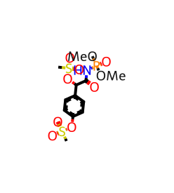 COP(=O)(NC(=O)C(OS(C)(=O)=O)c1ccc(OS(C)(=O)=O)cc1)OC